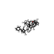 CC1=CC23C(=O)[C@@H](C=C4COC(C)(C)O[C@H]4[C@]2(O)[C@H]1OC(=O)c1c(C)nn(-c2ccccc2)c1C)[C@H]1[C@@H](CC3C)C1(C)C